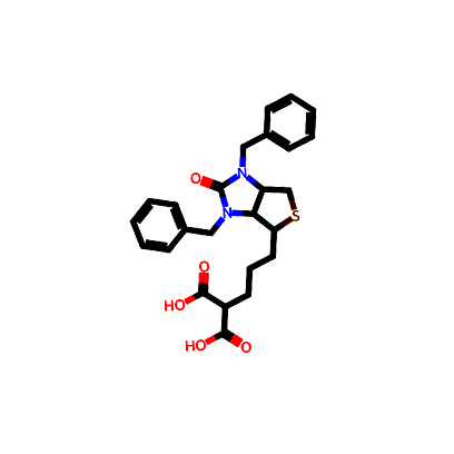 O=C(O)C(CCCC1SCC2C1N(Cc1ccccc1)C(=O)N2Cc1ccccc1)C(=O)O